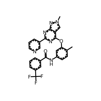 Cc1ccc(NC(=O)c2cccc(C(F)(F)F)c2)cc1Oc1nc(-c2cccnc2)nc2nn(C)cc12